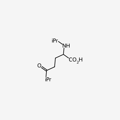 CC(C)NC(CCC(=O)C(C)C)C(=O)O